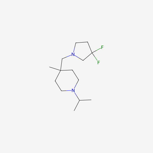 CC(C)N1CCC(C)(CN2CCC(F)(F)C2)CC1